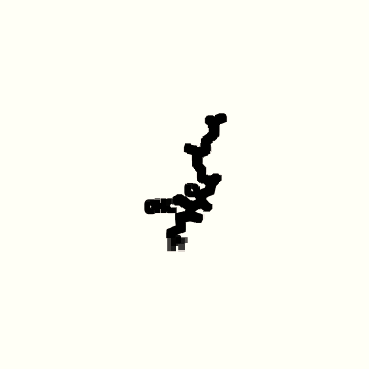 CC(C)=CCCC(C)=CCCC(C)CC(=O)C(C)C(CC=O)C(C)=CCCC(C)C